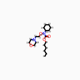 CCCCCCOC(=O)N(OCCN1CCOCC1)C1CCCCC1